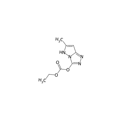 CCOC(=O)Oc1nnc2cc(C)[nH]n12